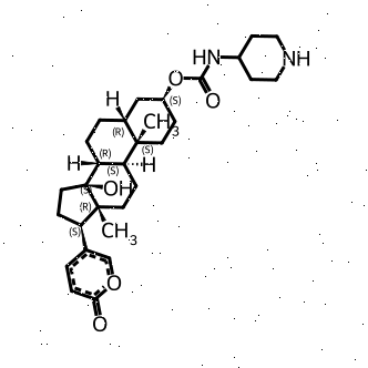 C[C@]12CC[C@H](OC(=O)NC3CCNCC3)C[C@H]1CC[C@@H]1[C@@H]2CC[C@]2(C)[C@@H](c3ccc(=O)oc3)CC[C@]12O